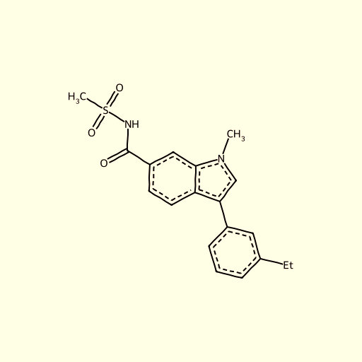 CCc1cccc(-c2cn(C)c3cc(C(=O)NS(C)(=O)=O)ccc23)c1